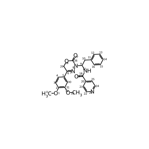 COc1ccc(C2=NN(C(Cc3ccccc3)NC(=O)c3ccncc3)C(=O)OC2)cc1OC